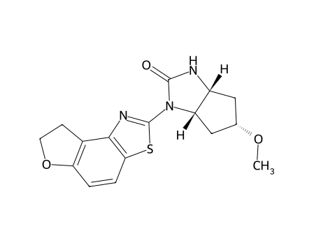 CO[C@H]1C[C@H]2NC(=O)N(c3nc4c5c(ccc4s3)OCC5)[C@H]2C1